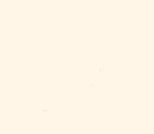 CCOc1cc(Cn2c(=O)[nH]c3c(-c4ccc(F)cc4)cccc32)ccc1OC